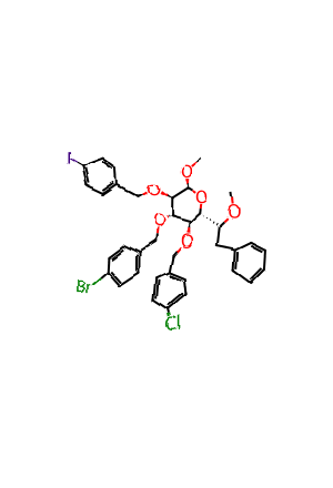 COC(Cc1ccccc1)[C@H]1O[C@H](OC)[C@H](OCc2ccc(I)cc2)[C@@H](OCc2ccc(Br)cc2)[C@@H]1OCc1ccc(Cl)cc1